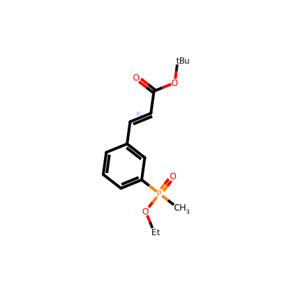 CCOP(C)(=O)c1cccc(/C=C/C(=O)OC(C)(C)C)c1